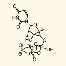 C[C@]1(Cl)[C@H](n2ccc(=O)[nH]c2=O)O[C@]2(F)C(OP(=O)(O)OP(=O)(O)OP(=O)(O)O)[C@]12O